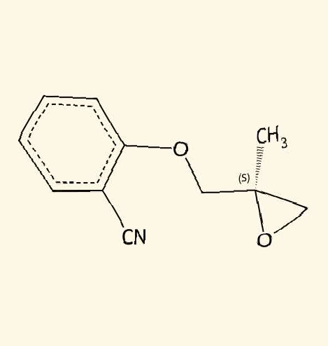 C[C@]1(COc2ccccc2C#N)CO1